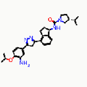 CC(C)Oc1ccc(C2=NN=C(c3cccc4c3CCC4NC(=O)N3CC[C@H](C(C)C)C3)C2)cc1N